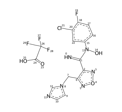 N=C(c1nonc1Cn1ccnc1)N(O)c1ccc(F)c(Cl)c1.O=C(O)C(F)(F)F